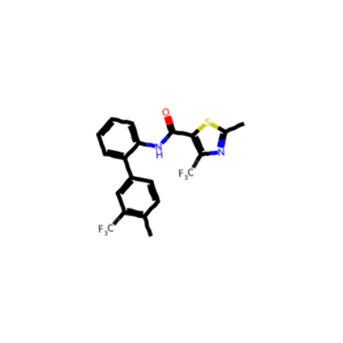 Cc1nc(C(F)(F)F)c(C(=O)Nc2ccccc2-c2ccc(C)c(C(F)(F)F)c2)s1